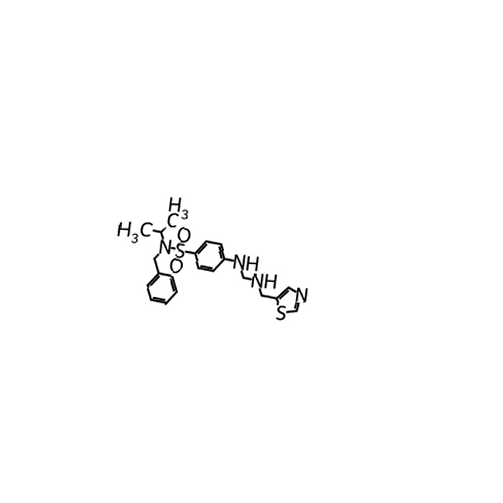 CC(C)N(Cc1ccccc1)S(=O)(=O)c1ccc(NCNCc2cncs2)cc1